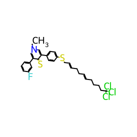 CCn1cc(-c2ccc(SCC=CCCC=CCCCCC(Cl)(Cl)Cl)cc2)c(=S)c(-c2cccc(F)c2)c1